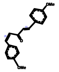 COc1ccc(/C=C\C(=O)/C=C/c2ccc(OC)cc2)cc1